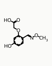 CON=Cc1ccc(O)cc1OCC(=O)O